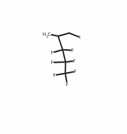 CC(CI)C(F)(F)C(F)(F)C(F)(F)F